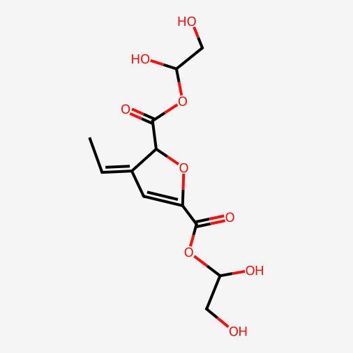 CC=C1C=C(C(=O)OC(O)CO)OC1C(=O)OC(O)CO